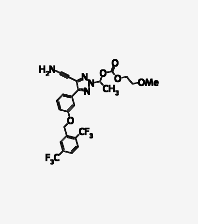 COCCOC(=O)OC(C)n1nc(C#CN)c(-c2cccc(OCc3cc(C(F)(F)F)ccc3C(F)(F)F)c2)n1